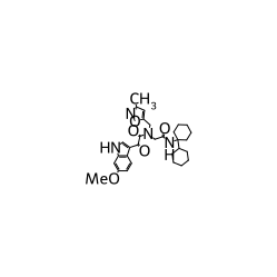 COc1ccc2c(C(=O)C(=O)N(CC(=O)NC3(C4CCCCC4)CCCCC3)Cc3cc(C)no3)c[nH]c2c1